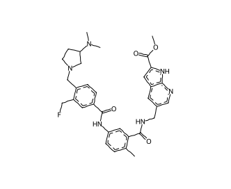 COC(=O)c1cc2cc(CNC(=O)c3cc(NC(=O)c4ccc(CN5CCC(N(C)C)C5)c(CF)c4)ccc3C)cnc2[nH]1